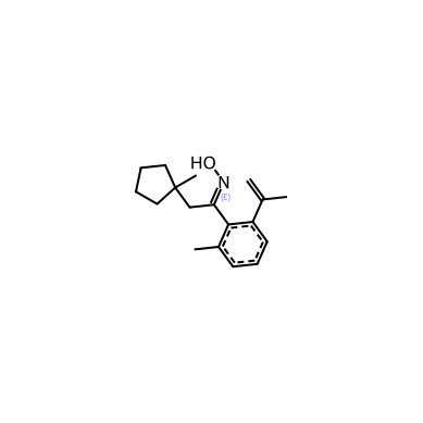 C=C(C)c1cccc(C)c1/C(CC1(C)CCCC1)=N/O